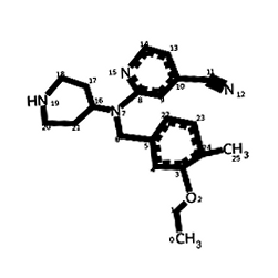 CCOc1cc(CN(c2cc(C#N)ccn2)C2CCNCC2)ccc1C